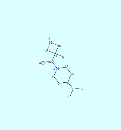 CC(C)C1CCN(C(=O)C2(C)COC2)CC1